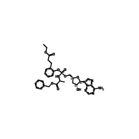 CCOC(=O)CCc1ccccc1OP(=O)(NC(C)C(=O)OCc1ccccc1)OC[C@@H]1C[C@@H](O)[C@H](n2cnc3c(N)ncnc32)O1